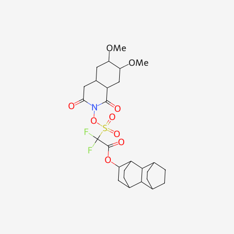 COC1CC2CC(=O)N(OS(=O)(=O)C(F)(F)C(=O)OC3CC4CCC3C3C5CCC(CC5)C43)C(=O)C2CC1OC